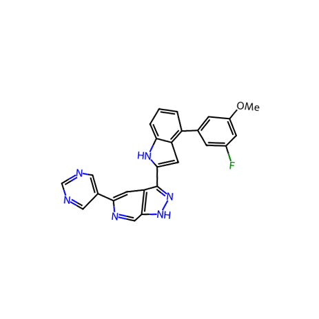 COc1cc(F)cc(-c2cccc3[nH]c(-c4n[nH]c5cnc(-c6cncnc6)cc45)cc23)c1